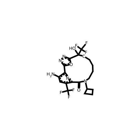 Nc1cc(C(F)(F)F)c2nc1-c1nnc(o1)C(O)(C(F)(F)F)CCCCCN(C1CCC1)C2=O